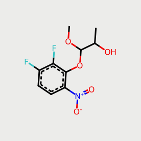 COC(Oc1c([N+](=O)[O-])ccc(F)c1F)C(C)O